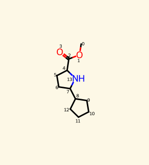 COC(=O)C1CCC(C2CCCC2)N1